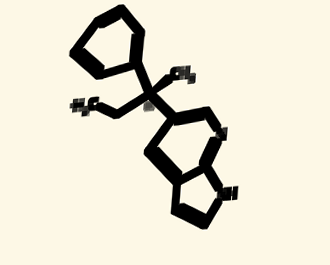 [CH2]C[C@](C)(c1ccccc1)c1cnc2[nH]ccc2c1